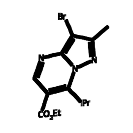 CCOC(=O)c1cnc2c(Br)c(C)nn2c1C(C)C